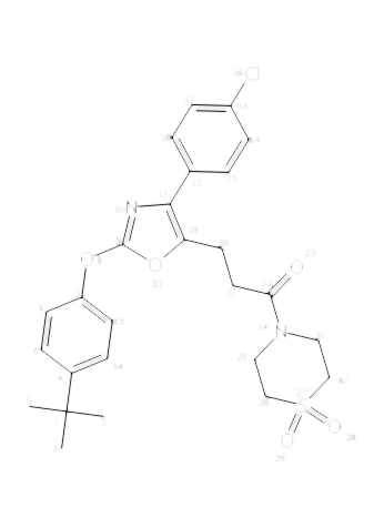 CC(C)(C)c1ccc(Oc2nc(-c3ccc(Cl)cc3)c(CCC(=O)N3CCS(=O)(=O)CC3)o2)cc1